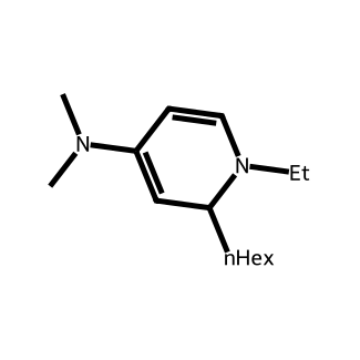 CCCCCCC1C=C(N(C)C)C=CN1CC